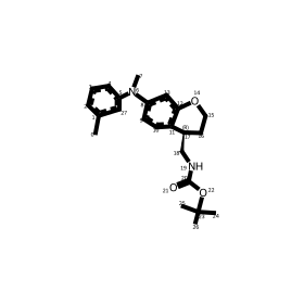 Cc1cccc(N(C)c2ccc3c(c2)OCC[C@H]3CNC(=O)OC(C)(C)C)c1